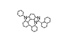 c1ccc(-n2c3cccc4c5ccccc5n5c(-c6cccc7ccccc67)nc6ccc2c(c43)c65)cc1